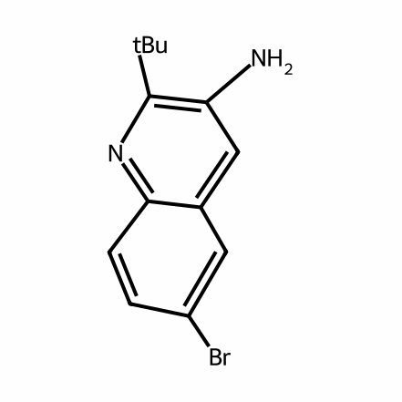 CC(C)(C)c1nc2ccc(Br)cc2cc1N